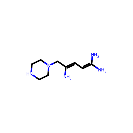 NC(N)=C/C=C(\N)CN1CCNCC1